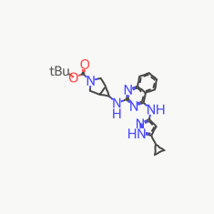 CC(C)(C)OC(=O)N1CC2C(C1)C2Nc1nc(Nc2cc(C3CC3)[nH]n2)c2ccccc2n1